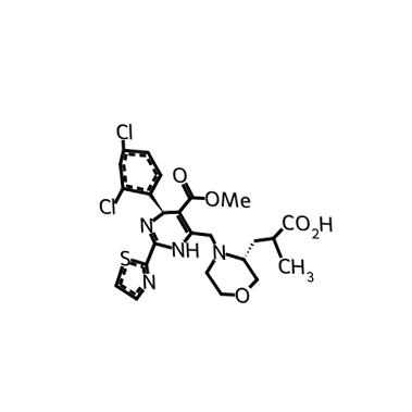 COC(=O)C1=C(CN2CCOC[C@H]2CC(C)C(=O)O)NC(c2nccs2)=N[C@H]1c1ccc(Cl)cc1Cl